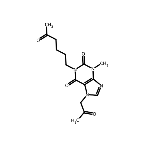 CC(=O)CCCCn1c(=O)c2c(ncn2CC(C)=O)n(C)c1=O